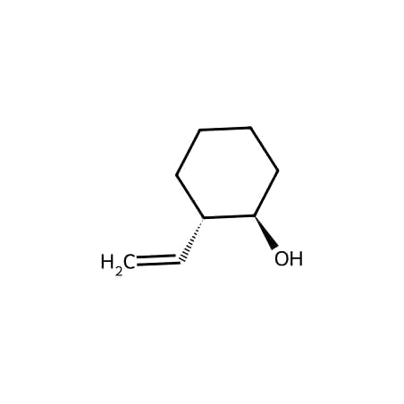 C=C[C@@H]1CCCC[C@H]1O